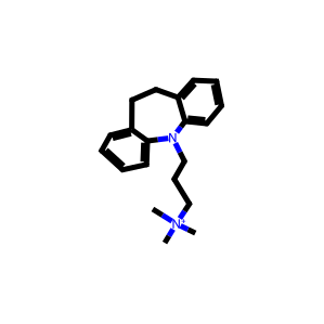 C[N+](C)(C)CCCN1c2ccccc2CCc2ccccc21